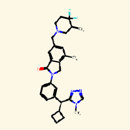 CC1CN(Cc2cc3c(c(C(F)(F)F)c2)CN(c2cccc([C@@H](c4nncn4C)C4CCC4)c2)C3=O)CCC1(F)F